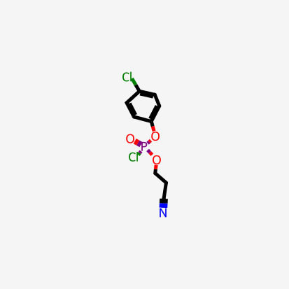 N#CCCOP(=O)(Cl)Oc1ccc(Cl)cc1